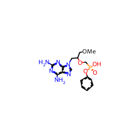 COCC(Cn1cnc2c(N)nc(N)nc21)OCP(=O)(O)Oc1ccccc1